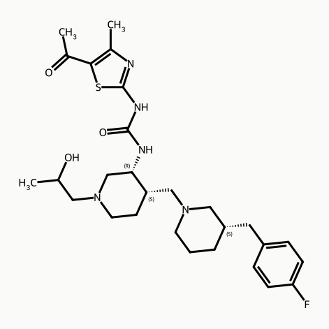 CC(=O)c1sc(NC(=O)N[C@H]2CN(CC(C)O)CC[C@H]2CN2CCC[C@@H](Cc3ccc(F)cc3)C2)nc1C